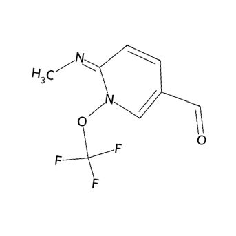 C/N=c1/ccc(C=O)cn1OC(F)(F)F